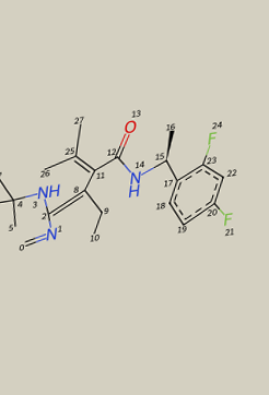 C=N/C(NC1(C)CC1)=C(\CC)C(C(=O)N[C@@H](C)c1ccc(F)cc1F)=C(C)C